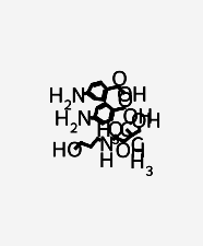 CC(C)(CO)C(O)C(=O)NCCCO.Nc1ccc(C(=O)O)cc1.Nc1ccc(C(=O)O)cc1